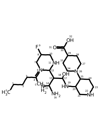 CCCCC(C)=[N+]1CC(F)CNC1C(C(N)N)C(O)NC1CNCCC1N1CCC(C(=O)O)CC1